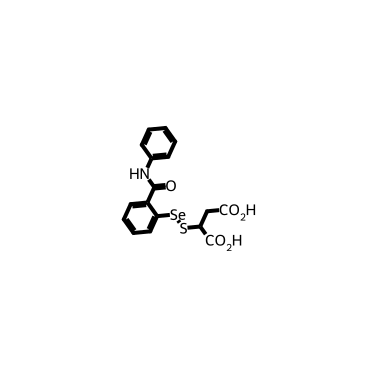 O=C(O)CC(S[Se]c1ccccc1C(=O)Nc1ccccc1)C(=O)O